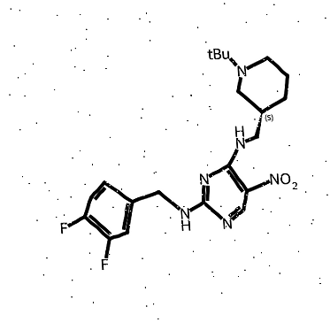 CC(C)(C)N1CCC[C@@H](CNc2nc(NCc3ccc(F)c(F)c3)ncc2[N+](=O)[O-])C1